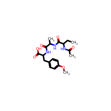 CCC(NC(C)=O)C(=O)NC(C)C(=O)NC(Cc1ccc(OC)cc1)C(=O)O